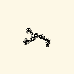 C=C(C)C(=O)OCCOc1ccc(-c2ccc(OCCOC(=O)C(=C)COC)cc2)cc1C1CCC(CCOC(=O)C(=C)C)CC1